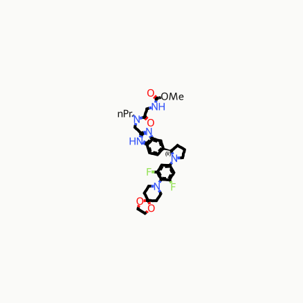 CCCN(Cc1nc2cc([C@H]3CCCN3c3cc(F)c(N4CCC5(CC4)OCCO5)c(F)c3)ccc2[nH]1)C(=O)CNC(=O)OC